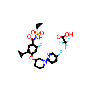 O=C(NS(=O)(=O)C1CC1)c1cc(C2CC2)c(OC2CCCN(c3ccc(F)cn3)C2)cc1F.O=C(O)C(F)(F)F